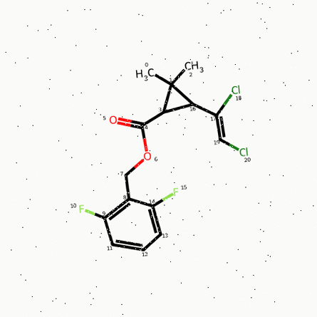 CC1(C)C(C(=O)OCc2c(F)cccc2F)C1C(Cl)=CCl